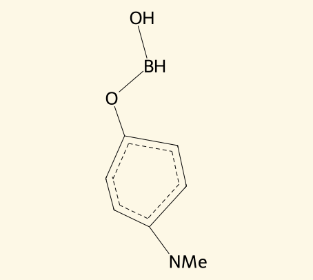 CNc1ccc(OBO)cc1